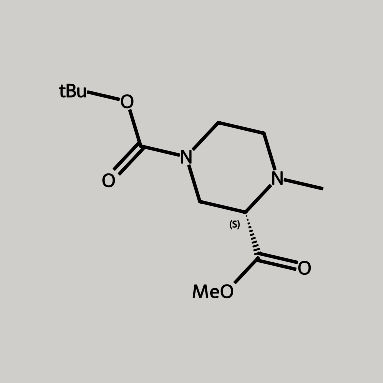 COC(=O)[C@@H]1CN(C(=O)OC(C)(C)C)CCN1C